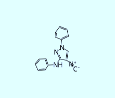 [C-]#[N+]c1cn(-c2ccccc2)nc1Nc1ccccc1